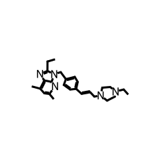 CCc1nc2c(C)cc(C)nc2n1Cc1ccc(/C=C/CN2CCN(CC)CC2)cc1